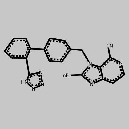 CCCc1nc2ccnc(C#N)c2n1Cc1ccc(-c2ccccc2-c2nnn[nH]2)cc1